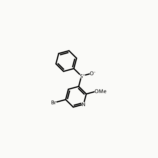 COc1ncc(Br)cc1[S+]([O-])c1ccccc1